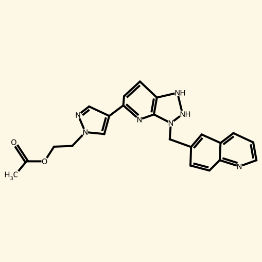 CC(=O)OCCn1cc(-c2ccc3c(n2)N(Cc2ccc4ncccc4c2)NN3)cn1